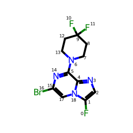 Fc1cnc2c(N3CCC(F)(F)CC3)nc(Br)cn12